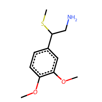 COc1ccc(C(CN)SC)cc1OC